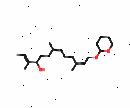 CC=C(C)C(O)CCC(C)=CCCC(C)=CCOC1CCCCO1